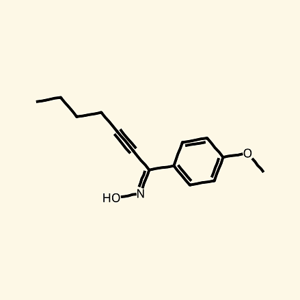 CCCCC#CC(=NO)c1ccc(OC)cc1